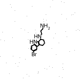 NCCCNC1CCCc2c1[nH]c1ccc(Br)cc21